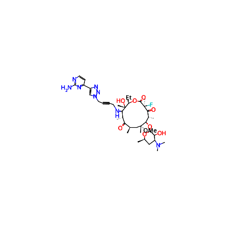 CC[C@H]1OC(=O)[C@@](C)(F)C(=O)[C@H](C)[C@@H](O[C@@H]2O[C@H](C)CC(N(C)C)C2O)[C@](C)(OC)C[C@@H](C)C(=O)[C@H](C)[C@@H](NCC#CCn2cc(-c3ccnc(N)n3)nn2)[C@]1(C)O